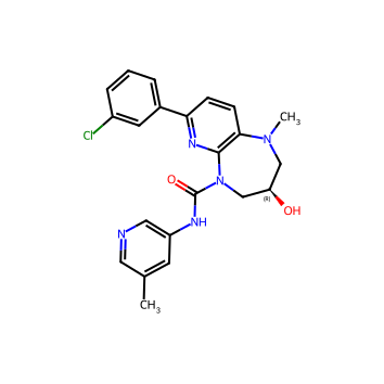 Cc1cncc(NC(=O)N2C[C@H](O)CN(C)c3ccc(-c4cccc(Cl)c4)nc32)c1